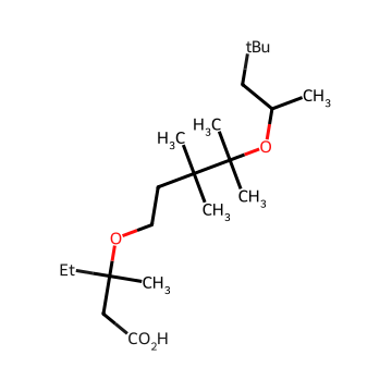 CCC(C)(CC(=O)O)OCCC(C)(C)C(C)(C)OC(C)CC(C)(C)C